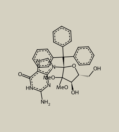 COC1(OC)[C@H](O)[C@@H](CO)O[C@]1(n1cnc2c(=O)[nH]c(N)nc21)C(c1ccccc1)(c1ccccc1)c1ccccc1